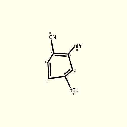 CCCc1cc(C(C)(C)C)ccc1C#N